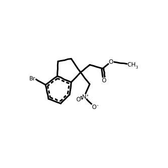 COC(=O)CC1(C[N+](=O)[O-])CCc2c(Br)cccc21